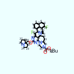 C#Cc1c(F)ccc2cccc(-c3nc4c5c(nc(OCC67CCCN6CCC7)nc5c3F)N3CCN(C(=O)OC(C)(C)C)CC3CC4)c12